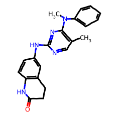 Cc1cnc(Nc2ccc3c(c2)CCC(=O)N3)nc1N(C)c1ccccc1